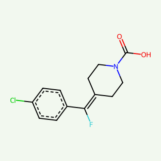 O=C(O)N1CCC(=C(F)c2ccc(Cl)cc2)CC1